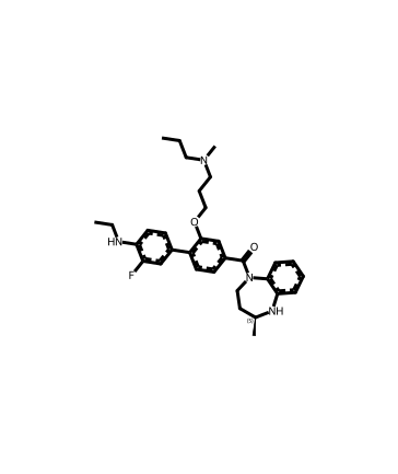 CCCN(C)CCCOc1cc(C(=O)N2CC[C@H](C)Nc3ccccc32)ccc1-c1ccc(NCC)c(F)c1